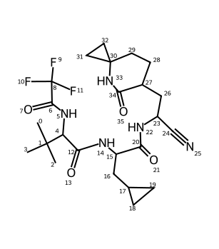 CC(C)(C)C(NC(=O)C(F)(F)F)C(=O)NC(CC1CC1)C(=O)NC(C#N)CC1CCC2(CC2)NC1=O